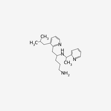 CC(C)Cc1cccnc1CC(CCCN)NC(C)c1ccccn1